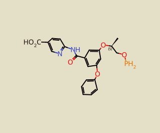 C[C@@H](COP)Oc1cc(Oc2ccccc2)cc(C(=O)Nc2ccc(C(=O)O)cn2)c1